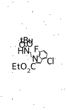 CCOC(=O)c1cc2c(Cl)ccc(F)c2n1[C@H](C)CNC(=O)OC(C)(C)C